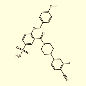 COc1ccc(COc2ccc(S(N)(=O)=O)cc2C(=O)N2CCN(c3ccc(C#N)c(F)c3)CC2)cc1